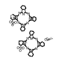 O=S(=O)([O-])c1cccc2c3nc4nc(nc5[n-]c(nc6nc(nc([n-]3)c12)-c1ccccc1-6)c1ccccc51)-c1ccccc1-4.O=S(=O)([O-])c1cccc2c3nc4nc(nc5[nH]c(nc6nc(nc([nH]3)c12)-c1ccccc1-6)c1ccccc51)-c1ccccc1-4.[Ca+2].[Cu+2]